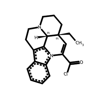 CC[C@]12C=C(C(=O)Cl)n3c4c(c5ccccc53)CCN(CCC1)[C@@H]42